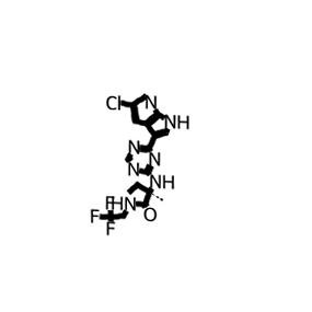 CC[C@@](C)(Nc1ncnc(-c2c[nH]c3ncc(Cl)cc23)n1)C(=O)NCC(F)(F)F